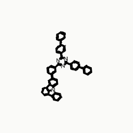 c1ccc(-c2ccc(-c3nc(-c4ccc(-c5ccccc5)cc4)nc(-c4cccc(-c5ccc6c(c5)c5cccc7c8ccccc8n6c75)c4)n3)cc2)cc1